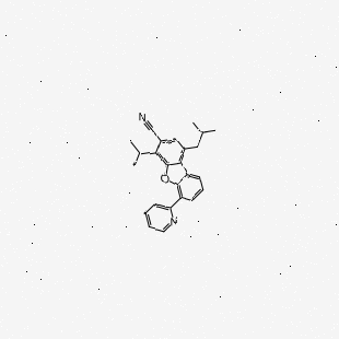 CC(C)Cc1cc(C#N)c(C(C)C)c2oc3c(-c4ccccn4)cccc3c12